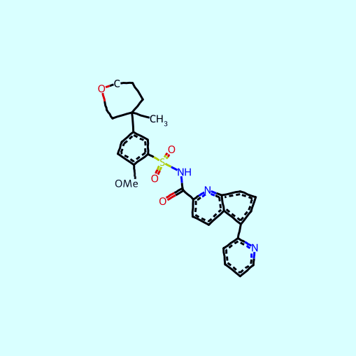 COc1ccc(C2(C)CCCOCC2)cc1S(=O)(=O)NC(=O)c1ccc2c(-c3ccccn3)cccc2n1